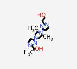 C[C@H](O)c1nccc(N2C[C@@H](C)N(c3ccnc(CCO)n3)[C@@H](C)C2)n1